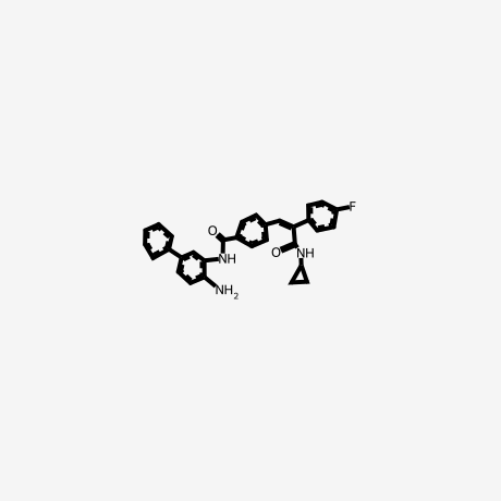 Nc1ccc(-c2ccccc2)cc1NC(=O)c1ccc(C=C(C(=O)NC2CC2)c2ccc(F)cc2)cc1